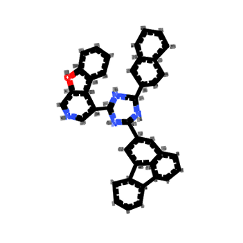 c1ccc2c(c1)-c1cccc3cc(-c4nc(-c5ccc6ccccc6c5)nc(-c5cncc6oc7ccccc7c56)n4)cc-2c13